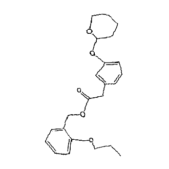 CCCOc1ccccc1COC(=O)Cc1cccc(OC2CCCCO2)c1